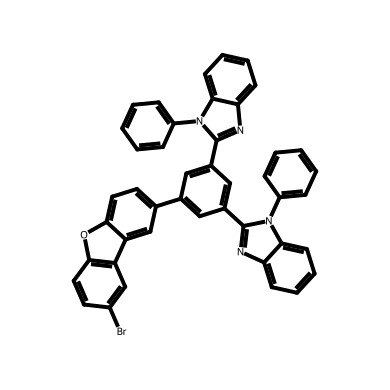 Brc1ccc2oc3ccc(-c4cc(-c5nc6ccccc6n5-c5ccccc5)cc(-c5nc6ccccc6n5-c5ccccc5)c4)cc3c2c1